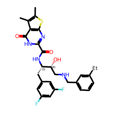 CCc1cccc(CNC[C@@H](O)[C@H](Cc2cc(F)cc(F)c2)NC(=O)c2nc3sc(C)c(C)c3c(=O)[nH]2)c1